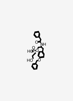 O=C(Cc1ccccc1)NC(COP(=O)(O)CCCO)Cc1ccc(OCc2ccccc2)cc1